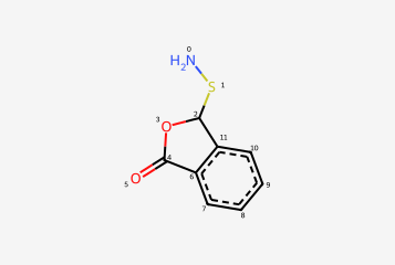 NSC1OC(=O)c2ccccc21